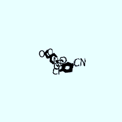 N#Cc1ccc(Cl)c(S(=O)(=O)N2CCC3(CC2)CC(=O)CO3)c1